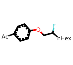 CCCCCCC(F)COc1ccc(C(C)=O)cc1